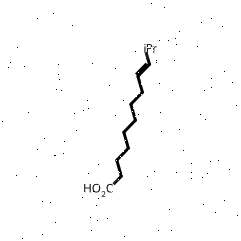 CC(C)C=CCCCCCCCC(=O)O